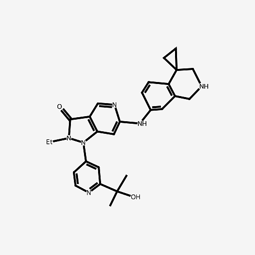 CCn1c(=O)c2cnc(Nc3ccc4c(c3)CNCC43CC3)cc2n1-c1ccnc(C(C)(C)O)c1